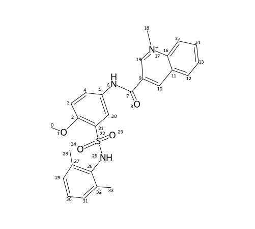 COc1ccc(NC(=O)c2cc3ccccc3[n+](C)c2)cc1S(=O)(=O)Nc1c(C)cccc1C